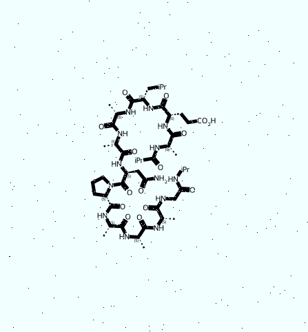 CC(C)C[C@H](NC(=O)[C@H](CCC(=O)O)NC(=O)[C@H](C)NC(=O)C(C)C)C(=O)N[C@@H](C)C(=O)N[C@@H](C)C(=O)N[C@@H](CC(N)=O)C(=O)N1CCC[C@H]1C(=O)N[C@@H](C)C(=O)N[C@@H](C)C(=O)N[C@@H](C)C(=O)NCC(=O)NC(C)C